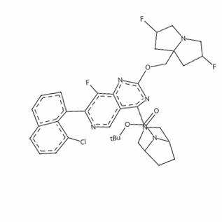 CC(C)(C)OC(=O)N1C2CCC1CN(c1nc(OCC34CC(F)CN3CC(F)C4)nc3c(F)c(-c4cccc5cccc(Cl)c45)ncc13)C2